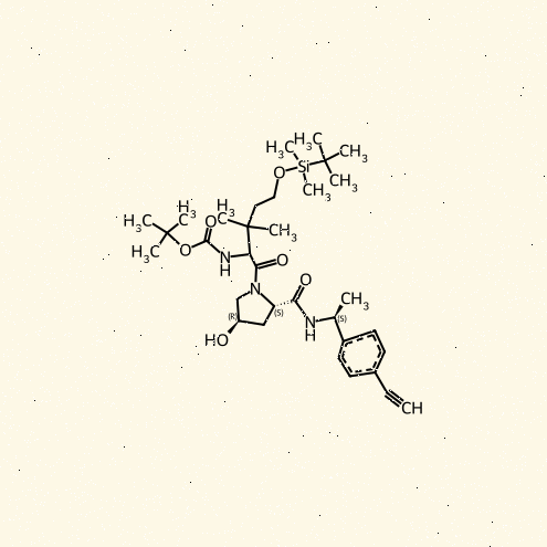 C#Cc1ccc([C@H](C)NC(=O)[C@@H]2C[C@@H](O)CN2C(=O)C(NC(=O)OC(C)(C)C)C(C)(C)CCO[Si](C)(C)C(C)(C)C)cc1